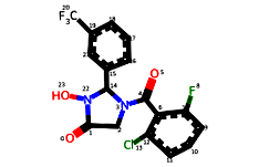 O=C1CN(C(=O)c2c(F)cccc2Cl)C(c2cccc(C(F)(F)F)c2)N1O